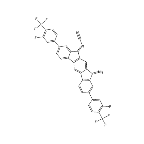 N#C/N=c1\c2cc(-c3ccc(C(F)(F)F)c(F)c3)ccc2c2cc3c(cc12)c(=N)c1cc(-c2ccc(C(F)(F)F)c(F)c2)ccc13